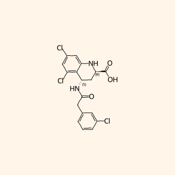 O=C(Cc1cccc(Cl)c1)N[C@H]1C[C@H](C(=O)O)Nc2cc(Cl)cc(Cl)c21